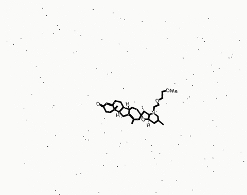 COCCOCCN1CC(C)C[C@H]2OC3(CC[C@@H]4C(=C(C)C3)C[C@H]3C4CCC4=CC(=O)CCC43C)[C@H](C)C21